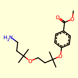 COC(=O)c1ccc(OC(C)(C)CCOC(C)(C)CCN)cc1